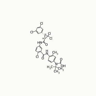 Cc1cc(N(C(=O)O)C(C)(C)C)ccc1NC(=O)c1cc(NC(=O)[C@H]2[C@H](c3cc(Cl)cc(Cl)c3)C2(Cl)Cl)ccc1Cl